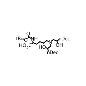 CCCCCCCCCCC(O)CN(CCCCC(NC(=O)OC(C)(C)C)C(=O)O)CC(O)CCCCCCCCCC